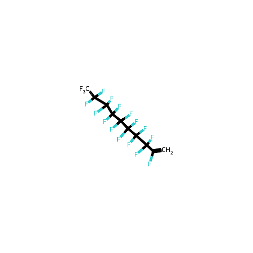 C=C(F)C(F)(F)C(F)(F)C(F)(F)C(F)(F)C(F)(F)C(F)(F)C(F)(F)C(F)(F)F